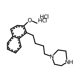 COc1ccc2ccccc2c1CCCCN1CCNCC1.Cl.Cl